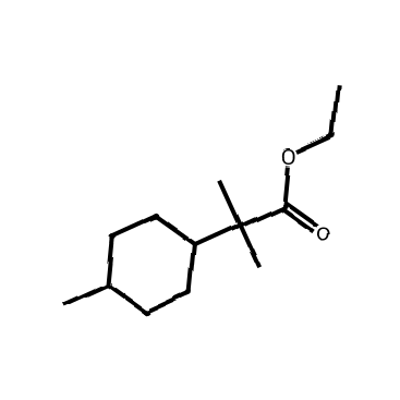 CCOC(=O)C(C)(C)C1CCC(C)CC1